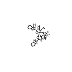 C[C@H](NC(=O)[C@@H]1[C@@H]2[C@H](CN1C(=O)[C@@H](NC(=O)c1cc3ccccc3[nH]1)C1CC1)C2(C)C)C(=O)c1nc2ccccc2s1